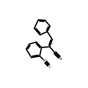 [C-]#[N+]c1ccccc1/C(C#N)=C\c1ccccc1